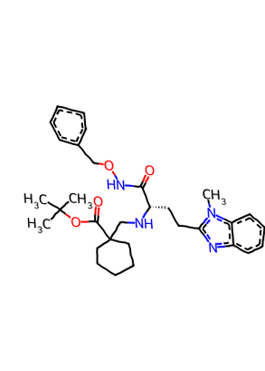 Cn1c(CC[C@H](NCC2(C(=O)OC(C)(C)C)CCCCC2)C(=O)NOCc2ccccc2)nc2ccccc21